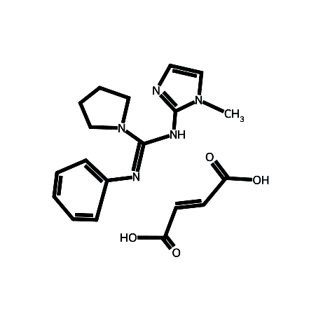 Cn1ccnc1N/C(=N/c1ccccc1)N1CCCC1.O=C(O)/C=C/C(=O)O